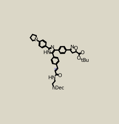 CCCCCCCCCCCCNC(=O)/C=C/c1ccc(-c2[nH]c(-c3ccc(N4CCCC4)cc3)nc2-c2ccc(C3=NOC(C(=O)OC(C)(C)C)C3)cc2)cc1